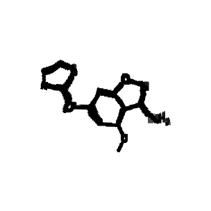 COc1cc(Oc2nccs2)cc2onc(N)c12